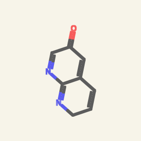 O=C1C=NC2=NCC=CC2=C1